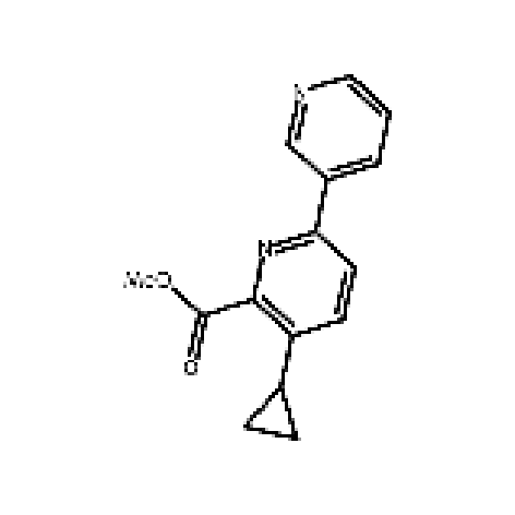 COC(=O)c1nc(-c2cccnc2)ccc1C1CC1